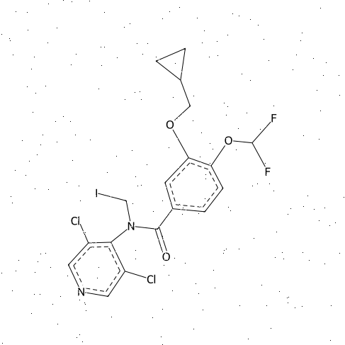 O=C(c1ccc(OC(F)F)c(OCC2CC2)c1)N(CI)c1c(Cl)cncc1Cl